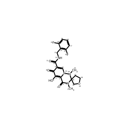 CN1C(=O)c2c(O)c(=O)c(C(=O)NCc3c(F)cccc3F)cn2N(C)C12CCOC2